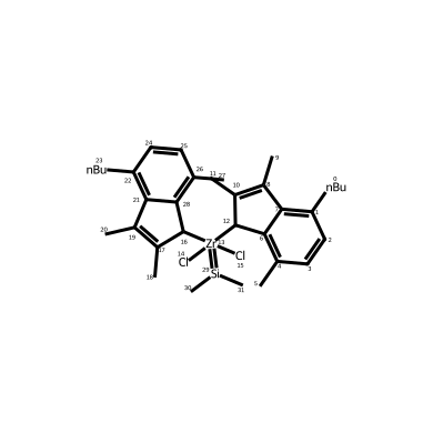 CCCCc1ccc(C)c2c1C(C)=C(C)[CH]2[Zr]([Cl])([Cl])([CH]1C(C)=C(C)c2c(CCCC)ccc(C)c21)=[Si](C)C